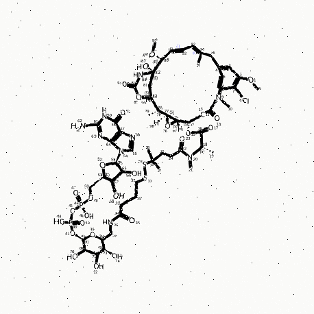 COc1cc2cc(c1Cl)N(C)C(=O)C[C@H](OC(=O)[C@H](C)N(C)C(=O)CCC(C)(C)SSCCCC(=O)NCC1O[C@H](OP(=O)(O)OP(=O)(O)OC[C@H]3O[C@@H](n4cnc5c(=O)[nH]c(N)nc54)C(O)C3O)C(O)C(O)[C@@H]1O)[C@@H]1O[C@H]1[C@H](C)[C@@H]1C[C@@](O)(NC(=O)O1)[C@H](OC)/C=C/C=C(\C)C2